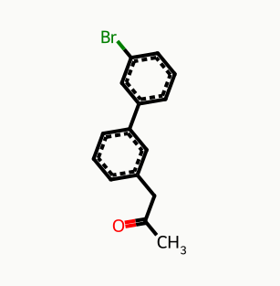 CC(=O)Cc1cccc(-c2cccc(Br)c2)c1